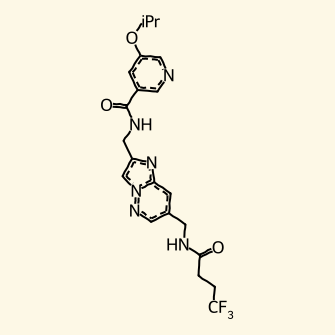 CC(C)Oc1cncc(C(=O)NCc2cn3ncc(CNC(=O)CCC(F)(F)F)cc3n2)c1